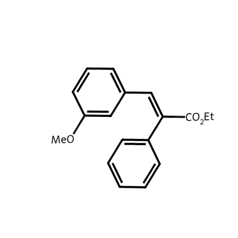 CCOC(=O)C(=Cc1cccc(OC)c1)c1ccccc1